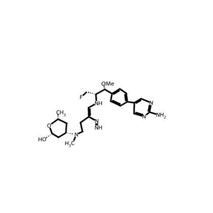 CO[C@H](c1ccc(-c2cnc(N)nc2)cc1)[C@@H](CF)N/C=C(/CCN(C)[C@H]1C[C@@H](C)O[C@@H](O)C1)N=N